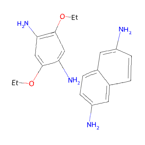 CCOc1cc(N)c(OCC)cc1N.Nc1ccc2cc(N)ccc2c1